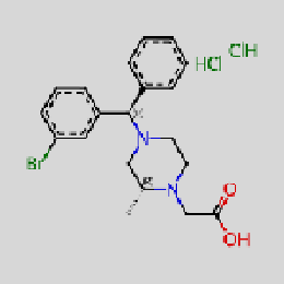 C[C@@H]1CN([C@H](c2ccccc2)c2cccc(Br)c2)CCN1CC(=O)O.Cl.Cl